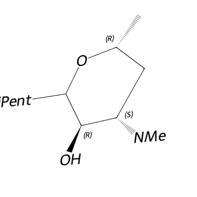 CCCC(C)C1O[C@H](C)C[C@H](NC)[C@H]1O